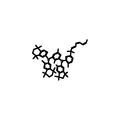 C\C=C/C=C\C=C\C(C)(C)c1ccc(C)c(N(c2cc3c(cc2C)C(C)(C)CC3(C)C)c2cc(C)cc(N(c3ccc4c(c3)C(C)(C)CCC4(C)C)c3cc4c(cc3C)C(C)(C)CCC4(C)C)c2C)c1